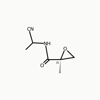 CC(C#N)NC(=O)[C@]1(C)CO1